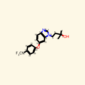 CC(C)(O)CCn1cnc2ccc(Oc3ccc(NC(F)(F)F)cc3)cc21